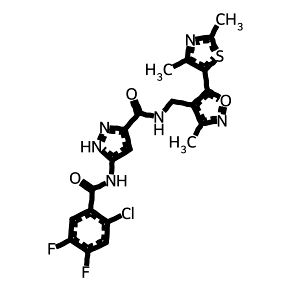 Cc1nc(C)c(-c2onc(C)c2CNC(=O)c2cc(NC(=O)c3cc(F)c(F)cc3Cl)[nH]n2)s1